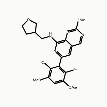 CCc1c(OC)cc(OC)c(Cl)c1-c1cc2cnc(SC)nc2c(NCC2CCOC2)n1